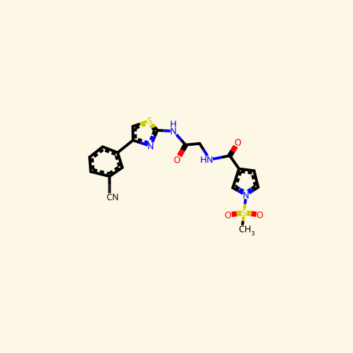 CS(=O)(=O)n1ccc(C(=O)NCC(=O)Nc2nc(-c3cccc(C#N)c3)cs2)c1